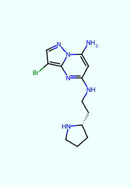 Nc1cc(NCC[C@@H]2CCCN2)nc2c(Br)cnn12